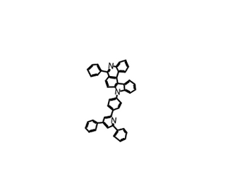 c1ccc(-c2cc(-c3ccccc3)nc(-c3ccc(-n4c5ccccc5c5c6c(ccc54)c(-c4ccccc4)nc4ccccc46)cc3)c2)cc1